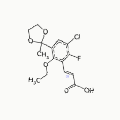 CCOc1c(C2(C)OCCO2)cc(Cl)c(F)c1/C=C/C(=O)O